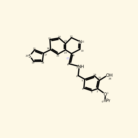 CCCOc1ccc(CN/C=C2\C=NCc3ccc(-c4ccsc4)cc32)cc1O